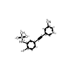 CS(=O)(=O)Nc1cc(C#Cc2cncc(C#N)c2)ccc1F